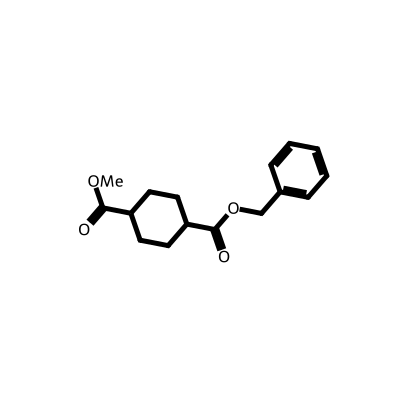 COC(=O)C1CCC(C(=O)OCc2ccccc2)CC1